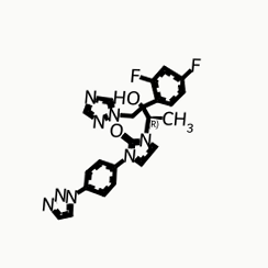 C[C@@H](n1ccn(-c2ccc(-n3ccnn3)cc2)c1=O)C(O)(Cn1cncn1)c1ccc(F)cc1F